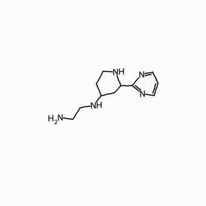 NCCNC1CCNC(c2ncccn2)C1